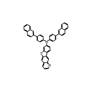 c1ccc2cc(-c3ccc(N(c4ccc(-c5ccc6ccccc6c5)cc4)c4ccc5c(c4)sc4cc6cccnc6cc45)cc3)ccc2c1